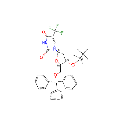 CC(C)(C)[Si](C)(C)O[C@H]1C[C@H](n2cc(C(F)(F)F)c(=O)[nH]c2=O)O[C@@H]1COC(c1ccccc1)(c1ccccc1)c1ccccc1